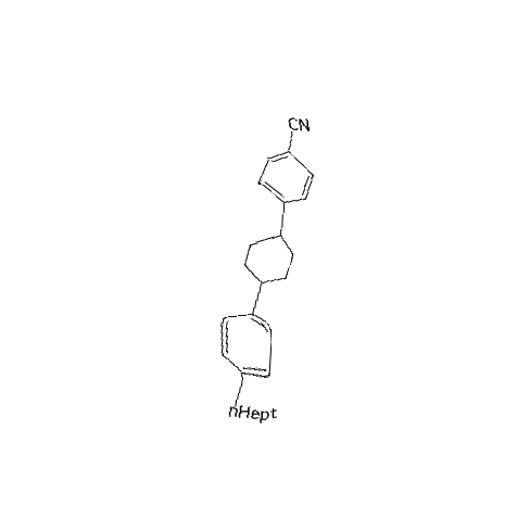 CCCCCCCc1ccc(C2CCC(c3ccc(C#N)cc3)CC2)cc1